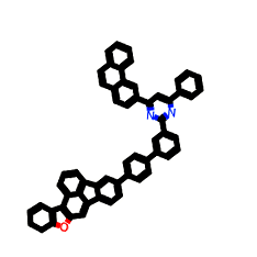 C1=Cc2c(oc3cc4c5c(cccc5c23)-c2cc(-c3ccc(-c5cccc(-c6nc(-c7ccccc7)cc(-c7ccc8ccc9ccccc9c8c7)n6)c5)cc3)ccc2-4)CC1